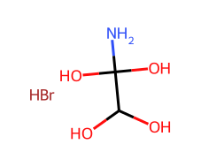 Br.NC(O)(O)C(O)O